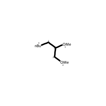 [CH2]CCCCC(COC)OC